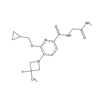 CC1(F)CN(c2ccc(C(=O)NCC(N)=O)nc2OCC2CC2)C1